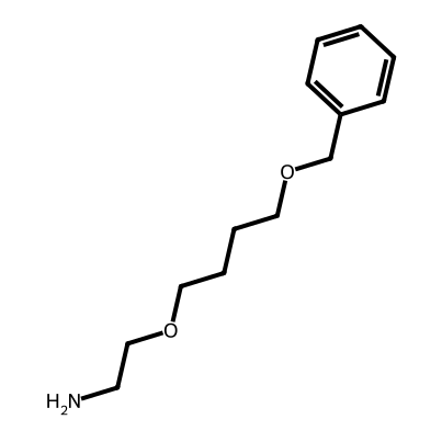 NCCOCCCCOCc1ccccc1